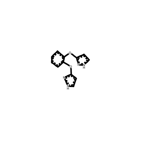 [c]1cccc(Oc2cc[nH]n2)c1Oc1cc[nH]n1